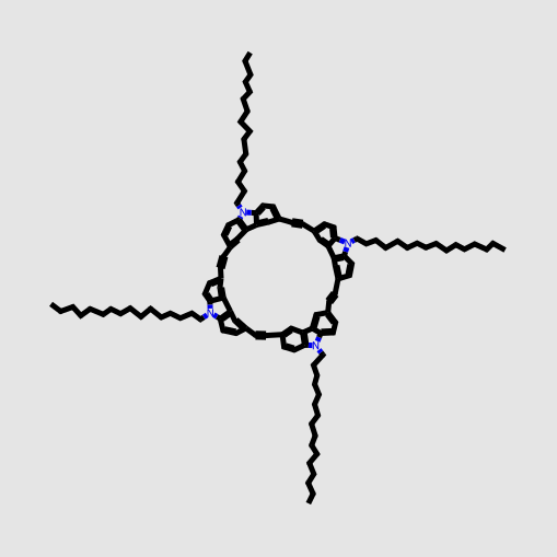 CCCCCCCCCCCCCCCCn1c2ccc3cc2c2cc(ccc21)C#Cc1ccc2c(c1)c1cc(ccc1n2CCCCCCCCCCCCCCCC)C#Cc1ccc2c(c1)c1cc(ccc1n2CCCCCCCCCCCCCCCC)C#Cc1ccc2c(c1)c1cc(ccc1n2CCCCCCCCCCCCCCCC)C#C3